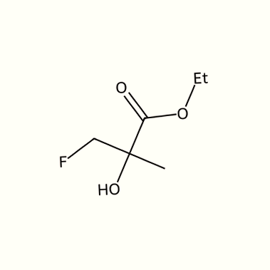 CCOC(=O)C(C)(O)CF